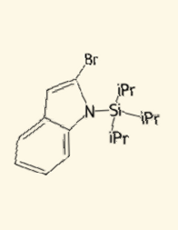 CC(C)[Si](C(C)C)(C(C)C)n1c(Br)cc2ccccc21